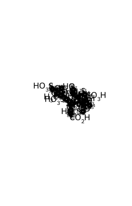 Cn1c(=O)c(C(=O)c2cccc(S(=O)(=O)O)c2)c2c3c(c(Nc4cc(Nc5nc(NCCNc6nc(Nc7cc(Nc8ccc9c%10c8C(=O)c8ccccc8-c%10c(C(=O)c8cccc(S(=O)(=O)O)c8)c(=O)n9C)c(S(=O)(=O)O)cc7S(=O)(=O)O)nc(Oc7ccc8cc(C(=O)O)ccc8c7)n6)nc(Oc6ccc7cc(O)ccc7c6)n5)c(S(=O)(=O)O)cc4S(=O)(=O)O)ccc31)C(=O)c1ccccc1-2